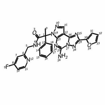 CC(C(=O)NCc1cc(F)ccn1)(c1ccccc1)n1ncc2c1nc(N)n1nc(-c3ccco3)nc21